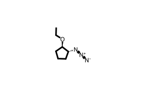 CCO[C@@H]1CCC[C@H]1N=[N+]=[N-]